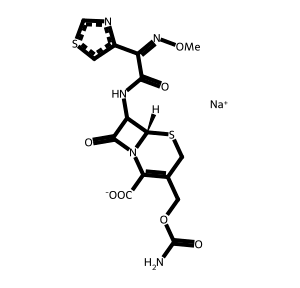 CO/N=C(\C(=O)NC1C(=O)N2C(C(=O)[O-])=C(COC(N)=O)CS[C@@H]12)c1cscn1.[Na+]